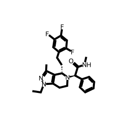 CCn1nc(C)c2c1CCN([C@@H](C(=O)NC)c1ccccc1)[C@H]2CCc1cc(F)c(F)cc1F